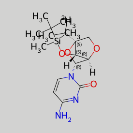 [2H]C(C)[C@@]12CO[C@@H]([C@H](n3ccc(N)nc3=O)O1)[C@@H]2O[Si](C)(C)C(C)(C)C